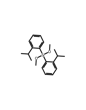 CO[Si](OC)(c1ccccc1C(C)C)c1ccccc1C(C)C